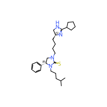 CC(C)CCCN1C(=S)N(CCCC[C@H]2CNC(C3CCCC3)=N2)C[C@H]1c1ccccc1